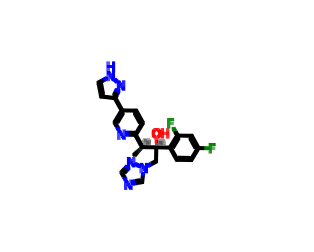 C[C@@H](c1ccc(-c2cc[nH]n2)cn1)[C@](O)(Cn1cncn1)c1ccc(F)cc1F